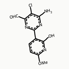 COc1ccc(-c2nc(N)c(Cl)c(C=O)n2)c(O)n1